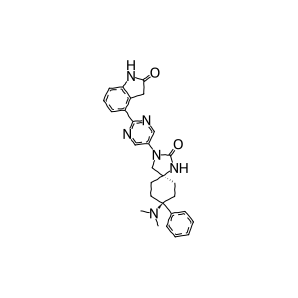 CN(C)[C@]1(c2ccccc2)CC[C@]2(CC1)CN(c1cnc(-c3cccc4c3CC(=O)N4)nc1)C(=O)N2